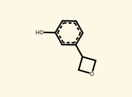 Oc1cccc(C2COC2)c1